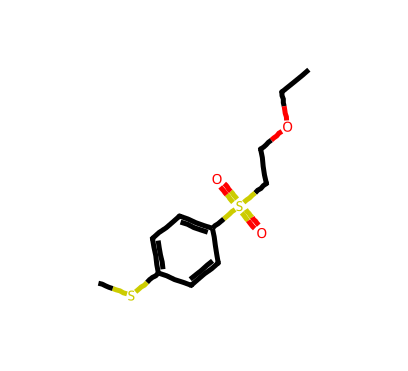 CCOCCS(=O)(=O)c1ccc(SC)cc1